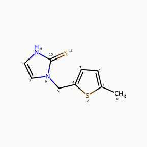 Cc1ccc(Cn2cc[nH]c2=S)s1